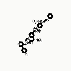 Cl.Cl.O=C(NS(=O)(=O)c1ccc(NCCSc2ccccc2)c([N+](=O)[O-])c1)c1ccc2c(c1)CC[C@H]1CN(Cc3ccncc3-c3ccc(Cl)cc3)CCN21